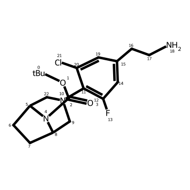 CC(C)(C)OC(=O)N1C2CCC1CN(c1c(F)cc(CCN)cc1Cl)C2